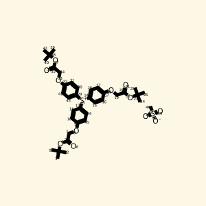 CC(C)(C)OC(=O)COc1ccc([S+](c2ccc(OCC(=O)OC(C)(C)C)cc2)c2ccc(OCC(=O)OC(C)(C)C)cc2)cc1.CS(=O)(=O)[O-]